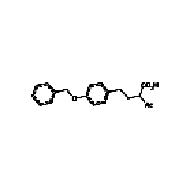 CC(=O)C(CCc1ccc(OCc2ccccc2)cc1)C(=O)O